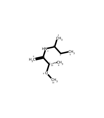 C=C(NC(C)CC)[C@H](C)OC